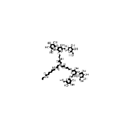 CCNC(=O)CCCCCNC(=O)CN(CC(=O)NCCO[C@@H]1O[C@H](CO[C@H]2O[C@H](CO)[C@@H](O)[C@H](O)[C@@H]2O)[C@@H](O)[C@H](O[C@H]2O[C@H](CO)[C@@H](O)[C@H](O)[C@@H]2O)[C@@H]1O)CC(=O)NCCO[C@@H]1O[C@H](CO[C@H]2O[C@H](CO)[C@@H](O)[C@H](O)[C@@H]2O)[C@@H](O)[C@H](O[C@H]2O[C@H](CO)[C@@H](O)[C@H](O)[C@@H]2O)[C@H]1O